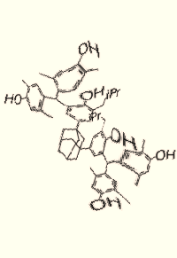 Cc1cc(C(c2cc(C)c(O)cc2C)c2cc(C34CC5CC(C3)CC(c3cc(CC(C)C)c(O)c(C(c6cc(C)c(O)cc6C)c6cc(C)c(O)cc6C)c3)(C5)C4)cc(CC(C)C)c2O)c(C)cc1O